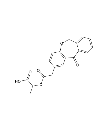 CC(OC(=O)Cc1ccc2c(c1)C(=O)c1ccccc1CO2)C(=O)O